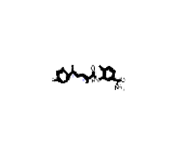 C/C(=C\C=C(/C)c1ccc(F)cc1)C(=O)Nc1cc(C(N)=O)ccc1C